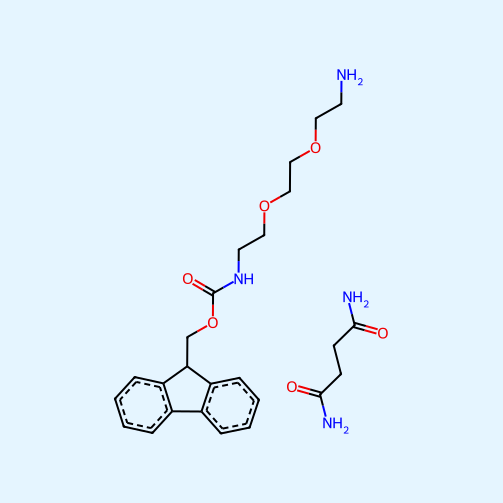 NC(=O)CCC(N)=O.NCCOCCOCCNC(=O)OCC1c2ccccc2-c2ccccc21